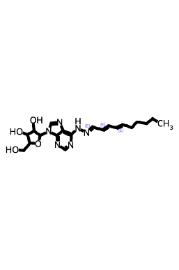 CCCCC/C=C/C=C/C=N/Nc1ncnc2c1ncn2C1OC(CO)C(O)C1O